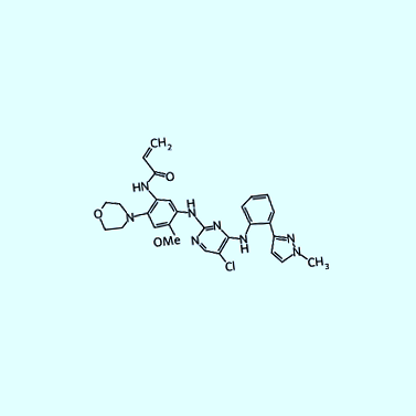 C=CC(=O)Nc1cc(Nc2ncc(Cl)c(Nc3ccccc3-c3ccn(C)n3)n2)c(OC)cc1N1CCOCC1